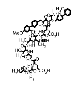 CCc1cc(OC)ccc1-c1ccc(C[C@H](NC(=O)[C@H](CC(=O)O)NC(=O)[C@H](CO)NC(=O)[C@@H](NC(=O)[C@@H](C)NC(=O)[C@@H](NC(=O)CNC(=O)[C@H](CCC(=O)O)NC(=O)C(C)(C)NC(=O)CN)C(C)O)C(C)O)C(=O)N[C@@H](Cc2ccc(-c3ccccc3C)nc2)C(N)=O)cc1